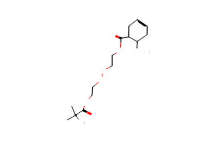 CCC(C)(C)C(=O)OCCOOCCOC(=O)C1CC=CCC1C(=O)O